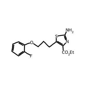 CCOC(=O)c1nc(N)sc1CCCOc1ccccc1F